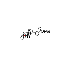 COC(=O)c1cccc(C2=CCCN(C(=O)CN3CC4CCC(C3)N4c3ncc(F)cn3)C2)c1